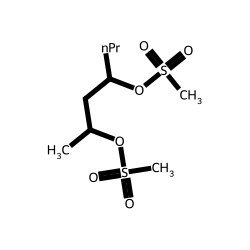 CCCC(CC(C)OS(C)(=O)=O)OS(C)(=O)=O